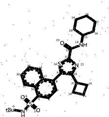 CC(C)(C)NS(=O)(=O)c1ccc(-c2sc(C(=O)NC3CCCCC3)nc2C2CCC2)c2ccccc12